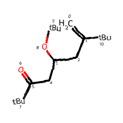 C=C(CC(CC(=O)C(C)(C)C)OC(C)(C)C)C(C)(C)C